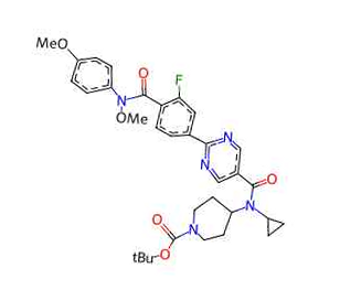 COc1ccc(N(OC)C(=O)c2ccc(-c3ncc(C(=O)N(C4CC4)C4CCN(C(=O)OC(C)(C)C)CC4)cn3)cc2F)cc1